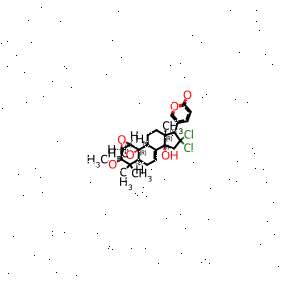 CO[C@H]1[C@H]2O[C@H]2[C@]2(OC)[C@H]3CC[C@]4(C)[C@@H](c5ccc(=O)oc5)C(Cl)(Cl)C[C@]4(O)C3=CC[C@H]2C1(C)C